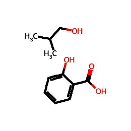 CC(C)CO.O=C(O)c1ccccc1O